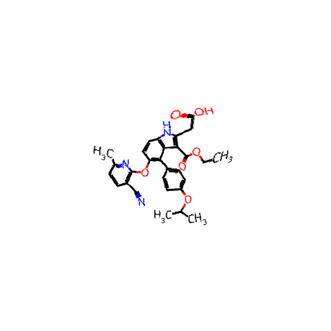 CCOC(=O)c1c(CC(=O)O)[nH]c2ccc(Oc3nc(C)ccc3C#N)c(-c3ccc(OC(C)C)cc3)c12